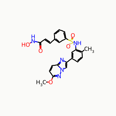 COc1ccc2nc(-c3ccc(C)c(NS(=O)(=O)c4cccc(C=CC(=O)NO)c4)c3)cn2n1